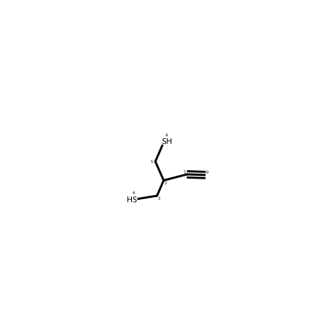 C#CC(CS)CS